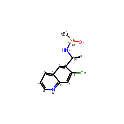 C[C@H](N[S@+]([O-])C(C)(C)C)c1cc2cccnc2cc1F